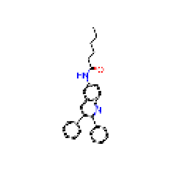 CCCCCC(=O)Nc1ccc2nc(-c3ccccc3)c(-c3ccccc3)cc2c1